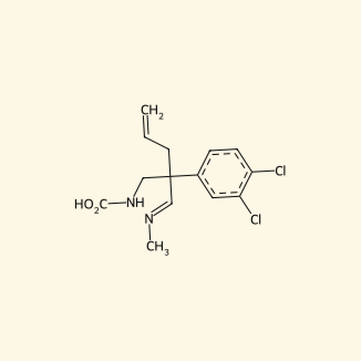 C=CCC(C=NC)(CNC(=O)O)c1ccc(Cl)c(Cl)c1